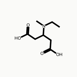 CCN(C)C(CC(=O)O)CC(=O)O